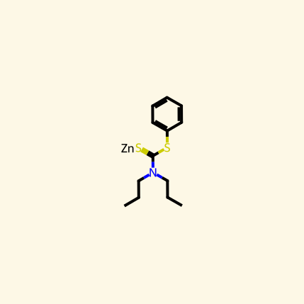 CCCN(CCC)C(=S)Sc1ccccc1.[Zn]